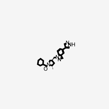 C[C@H]1C[C@H](Cn2ncc3cc(-c4cn[nH]c4)ccc32)CN1C(=O)C1CCCCC1